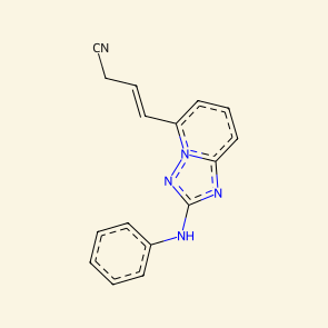 N#CCC=Cc1cccc2nc(Nc3ccccc3)nn12